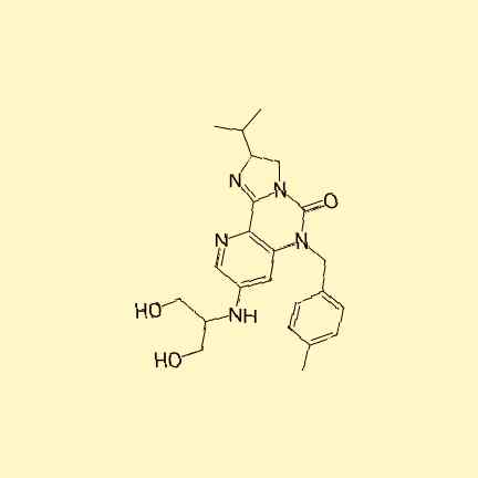 Cc1ccc(CN2C(=O)N3CC(C(C)C)N=C3c3ncc(NC(CO)CO)cc32)cc1